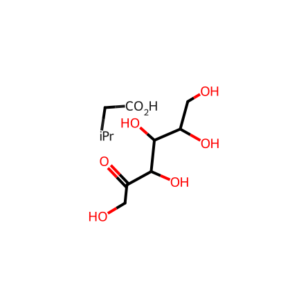 CC(C)CC(=O)O.O=C(CO)C(O)C(O)C(O)CO